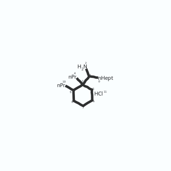 CCCCCCCC(N)C1(CCC)CCCCC1CCC.Cl